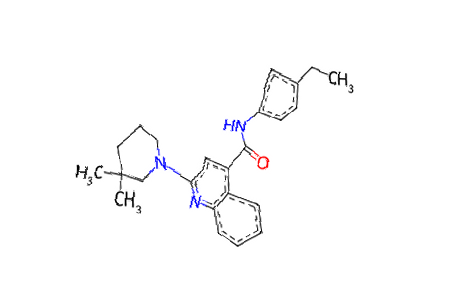 CCc1ccc(NC(=O)c2cc(N3CCCC(C)(C)C3)nc3ccccc23)cc1